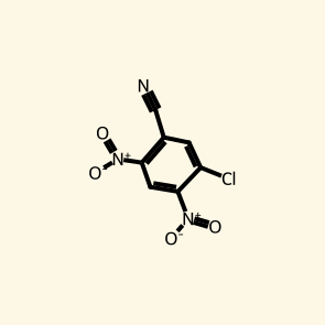 N#Cc1cc(Cl)c([N+](=O)[O-])cc1[N+](=O)[O-]